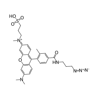 Cc1cc(C(=O)NCCCN=[N+]=[N-])ccc1-c1c2cc/c(=[N+](/C)CCCS(=O)(=O)O)cc-2oc2cc(N(C)C)ccc12